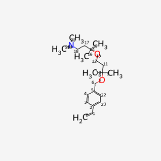 C=Cc1ccc(COC(C)(C)CCOC(C)(C)CCN(C)C)cc1